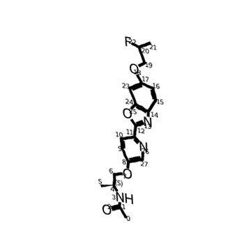 CC(=O)N[C@@H](C)COc1ccc(-c2nc3ccc(OCC(C)F)cc3o2)nc1